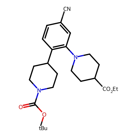 CCOC(=O)C1CCN(c2cc(C#N)ccc2C2CCN(C(=O)OC(C)(C)C)CC2)CC1